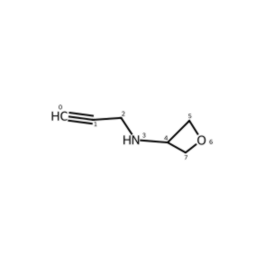 C#CCNC1COC1